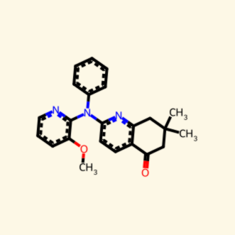 COc1cccnc1N(c1ccccc1)c1ccc2c(n1)CC(C)(C)CC2=O